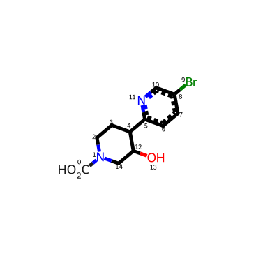 O=C(O)N1CCC(c2ccc(Br)cn2)C(O)C1